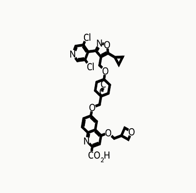 O=C(O)c1cc(OCC2COC2)c2cc(OCC34CCC(OCc5c(-c6c(Cl)cncc6Cl)noc5C5CC5)(CC3)CC4)ccc2n1